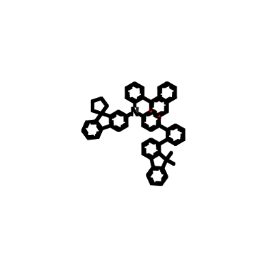 CC1(C)c2ccccc2-c2cccc(-c3ccccc3-c3ccc(N(c4ccc5c(c4)C4(CCCC4)c4ccccc4-5)c4ccccc4-c4cccc5ccccc45)cc3)c21